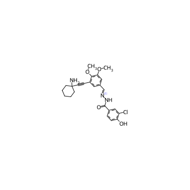 COc1cc(/C=N/NC(=O)c2ccc(O)c(Cl)c2)cc(C#CC2(N)CCCCC2)c1OC